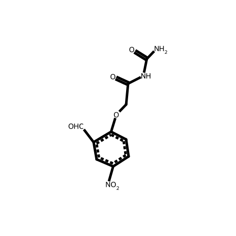 NC(=O)NC(=O)COc1ccc([N+](=O)[O-])cc1C=O